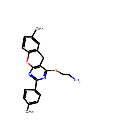 COc1ccc(-c2nc3c(c(SCCN)n2)Cc2cc(OC)ccc2O3)cc1